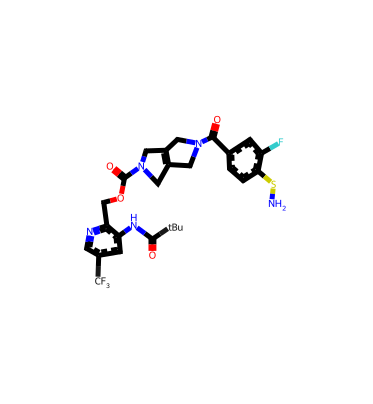 CC(C)(C)C(=O)Nc1cc(C(F)(F)F)cnc1COC(=O)N1CC2=C(C1)CN(C(=O)c1ccc(SN)c(F)c1)C2